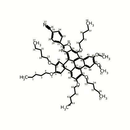 CCCCCOc1cc2c(cc1OCCCCC)c1c3nc(-c4ccc(C#N)cc4)oc3c(OCCCCC)c3c4cc(OC)c(OC)cc4c4c(OCCCCC)c(OCCCCC)cc2c4c31